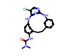 CN(C)C(=O)Nc1ccc2cc1CCc1cccc(c1)Nc1ncc(Cl)c(n1)N2